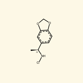 C[C@H](NCl)c1ccc2c(c1)OCO2